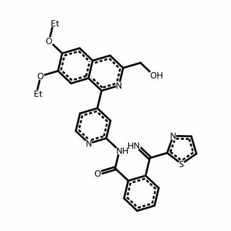 CCOc1cc2cc(CO)nc(-c3ccnc(NC(=O)c4ccccc4C(=N)c4nccs4)c3)c2cc1OCC